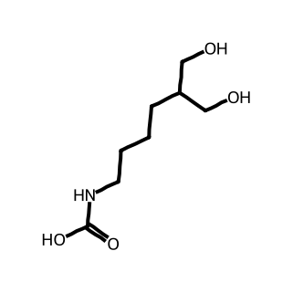 O=C(O)NCCCCC(CO)CO